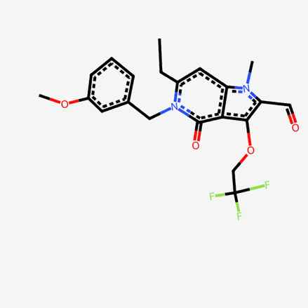 CCc1cc2c(c(OCC(F)(F)F)c(C=O)n2C)c(=O)n1Cc1cccc(OC)c1